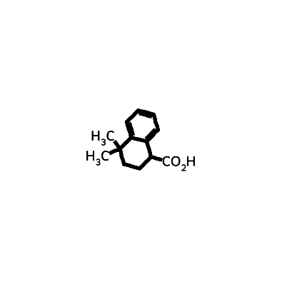 CC1(C)CCC(C(=O)O)c2ccccc21